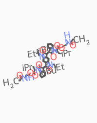 C=CC(=O)NCCOC(=O)C(CC(C)C)N1C(=O)/C(=C2/C(=O)N(CC(CC)CCCC)c3cc4c(cc32)N(CC(CC)CCCC)C(=O)/C4=C2/C(=O)N(C(CC(C)C)C(=O)OCCNC(=O)C=C)c3ccccc32)c2ccccc21